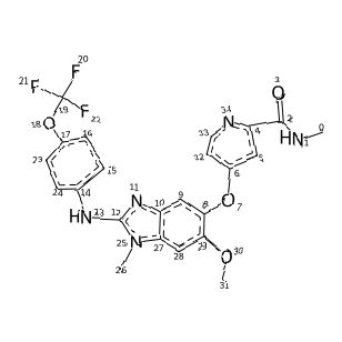 CNC(=O)c1cc(Oc2cc3nc(Nc4ccc(OC(F)(F)F)cc4)n(C)c3cc2OC)ccn1